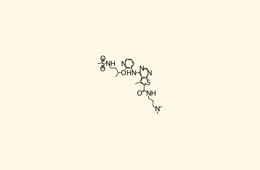 Cc1c(C(=O)NCCCN(C)C)sc2ncnc(Nc3cccnc3OC(C)CCNS(C)(=O)=O)c12